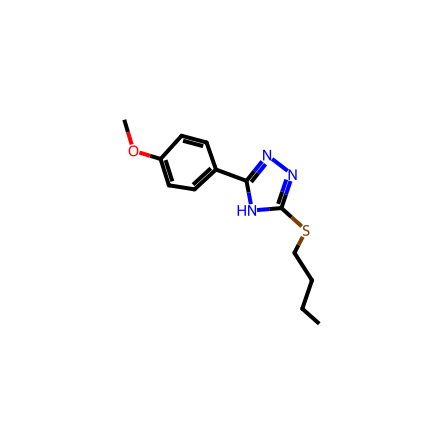 CCCCSc1nnc(-c2ccc(OC)cc2)[nH]1